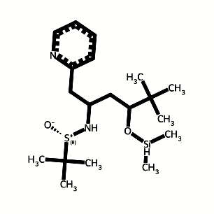 C[SiH](C)OC(CC(Cc1ccccn1)N[S@@+]([O-])C(C)(C)C)C(C)(C)C